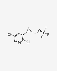 FC(F)(F)OC[C@H]1C[C@@H]1c1cc(Cl)nnc1Cl